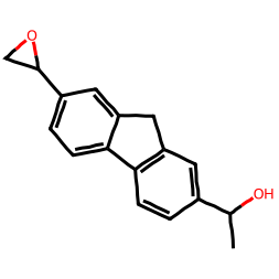 CC(O)c1ccc2c(c1)Cc1cc(C3CO3)ccc1-2